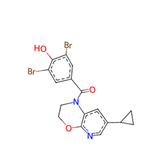 O=C(c1cc(Br)c(O)c(Br)c1)N1CCOc2ncc(C3CC3)cc21